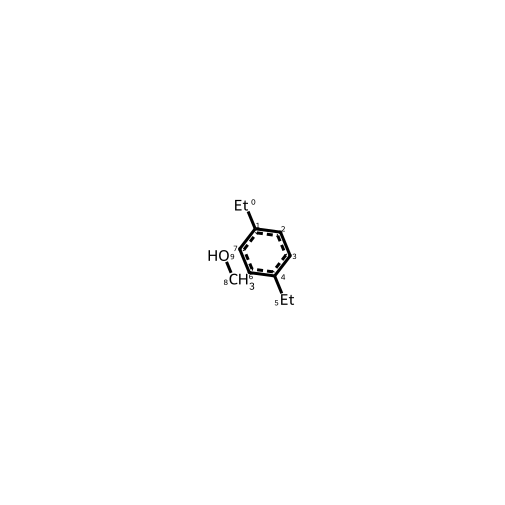 CCc1ccc(CC)cc1.CO